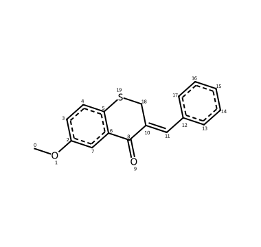 COc1ccc2c(c1)C(=O)/C(=C/c1ccccc1)CS2